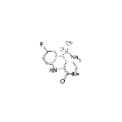 NC(C1CC1)C1(C(F)(F)F)c2cc(F)ccc2Nc2c1cc[nH]c2=O